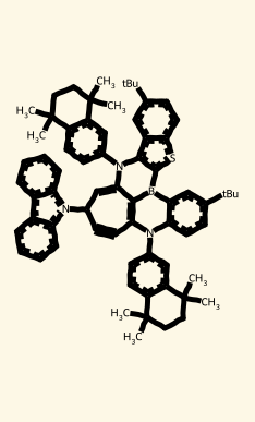 CC(C)(C)c1ccc2c(c1)B1C3=C(C#CC(n4c5ccccc5c5ccccc54)C=C3N(c3ccc4c(c3)C(C)(C)CCC4(C)C)c3c1sc1ccc(C(C)(C)C)cc31)N2c1ccc2c(c1)C(C)(C)CCC2(C)C